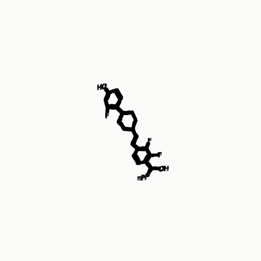 CCCC(O)c1ccc(/C=C/C2CCC(c3ccc(O)cc3F)CC2)c(F)c1F